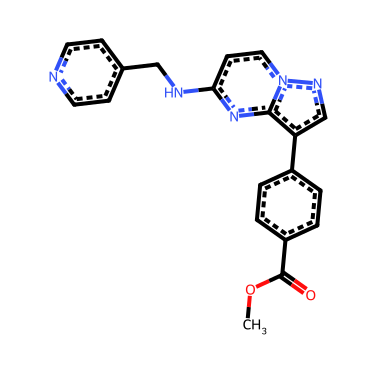 COC(=O)c1ccc(-c2cnn3ccc(NCc4ccncc4)nc23)cc1